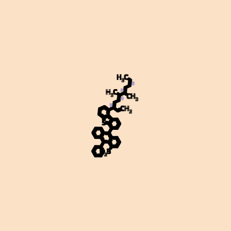 Bc1cccc2c(-c3cccc4c3sc3cccc(/C(C=C)=C/C=C(C)/C(C)=C/C=C\C)c34)c3ccccc3c(-c3ccccc3)c12